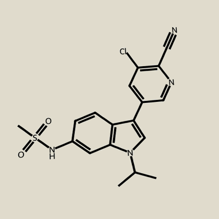 CC(C)n1cc(-c2cnc(C#N)c(Cl)c2)c2ccc(NS(C)(=O)=O)cc21